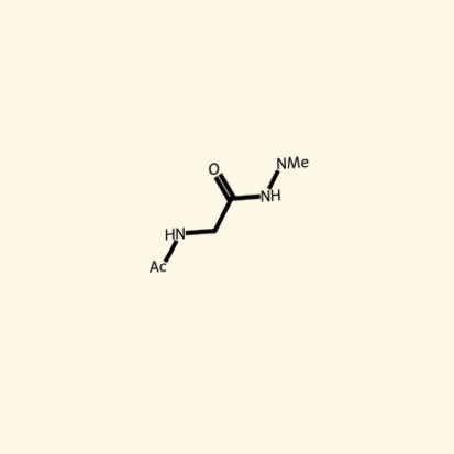 CNNC(=O)CNC(C)=O